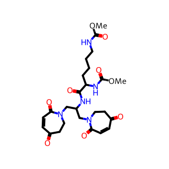 COC(=O)NCCCCC(NC(=O)OC)C(=O)NC(CN1CCC(=O)C=CC1=O)CN1CCC(=O)C=CC1=O